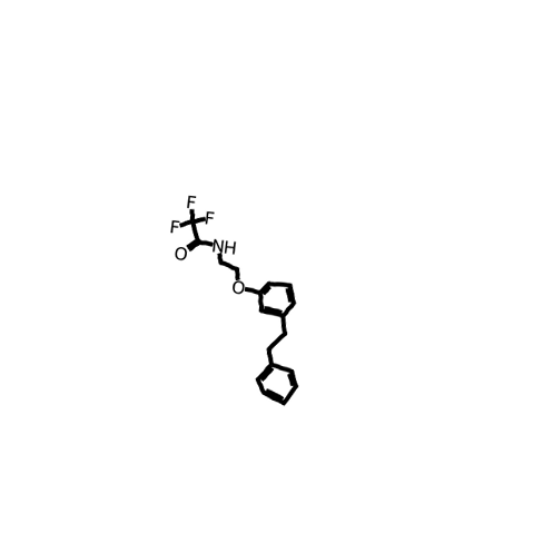 O=C(NCCOc1cccc(CCc2ccccc2)c1)C(F)(F)F